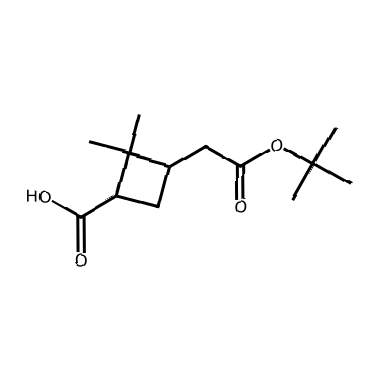 CC(C)(C)OC(=O)CC1CC(C(=O)O)C1(C)C